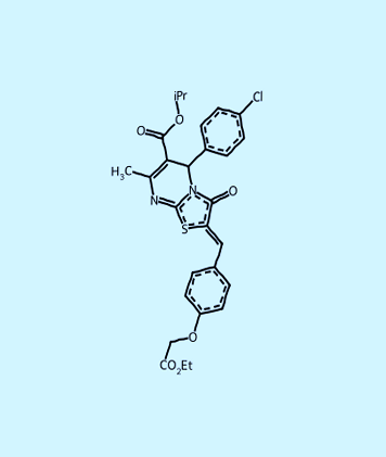 CCOC(=O)COc1ccc(C=c2sc3n(c2=O)C(c2ccc(Cl)cc2)C(C(=O)OC(C)C)=C(C)N=3)cc1